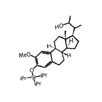 COc1cc2c(cc1O[Si](C(C)C)(C(C)C)C(C)C)CC[C@@H]1[C@@H]2CC[C@]2(C)[C@@H](C(C)C(C)O)CC[C@@H]12